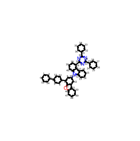 c1ccc(-c2ccc(-c3cc(-n4c5ccccc5c5c(-c6nc(-c7ccccc7)nc(-c7ccccc7)n6)cccc54)cc4c3oc3ccccc34)cc2)cc1